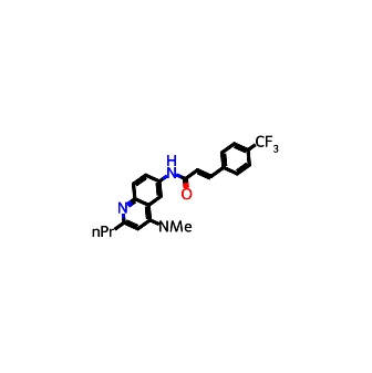 CCCc1cc(NC)c2cc(NC(=O)C=Cc3ccc(C(F)(F)F)cc3)ccc2n1